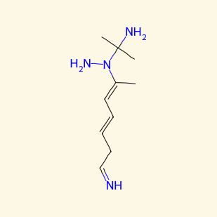 C/C(=C\C=C\CC=N)N(N)C(C)(C)N